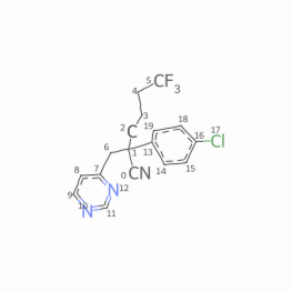 N#CC(CCCC(F)(F)F)(Cc1ccncn1)c1ccc(Cl)cc1